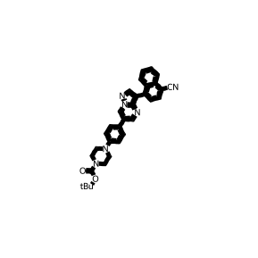 CC(C)(C)OC(=O)N1CCN(c2ccc(-c3cnc4c(-c5ccc(C#N)c6ccccc56)cnn4c3)cc2)CC1